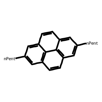 CCCCCc1cc2ccc3cc(CCCCC)cc4ccc(c1)c2c34